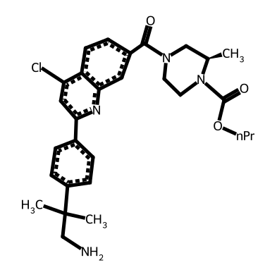 CCCOC(=O)N1CCN(C(=O)c2ccc3c(Cl)cc(-c4ccc(C(C)(C)CN)cc4)nc3c2)C[C@H]1C